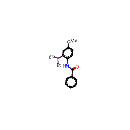 CCP(CC)c1cc(OC)ccc1NC(=O)c1ccccc1